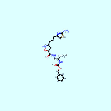 Nc1nc(CCCC2CC(C(=O)NCC(NC(=O)OCc3ccccc3)C(=O)O)ON2)cs1